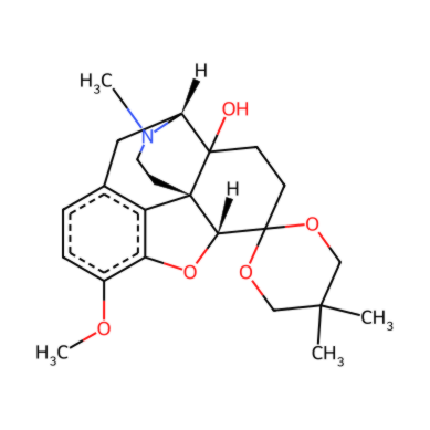 COc1ccc2c3c1O[C@H]1C4(CCC5(O)[C@@H](C2)N(C)CC[C@]315)OCC(C)(C)CO4